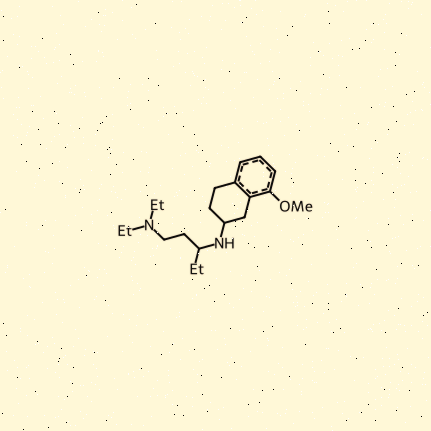 CCC(CCN(CC)CC)NC1CCc2cccc(OC)c2C1